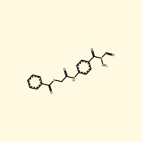 NN(C=O)C(=O)c1ccc(NC(=O)CSC(=O)c2ccccc2)cc1